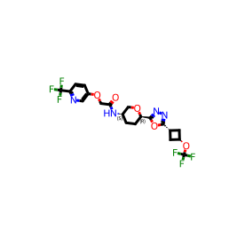 O=C(COc1ccc(C(F)(F)F)nc1)N[C@H]1CC[C@H](c2nnc([C@H]3C[C@@H](OC(F)(F)F)C3)o2)OC1